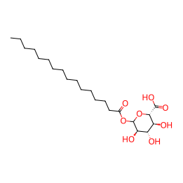 CCCCCCCCCCCCCCCC(=O)OC1O[C@H](C(=O)O)[C@@H](O)[C@H](O)[C@H]1O